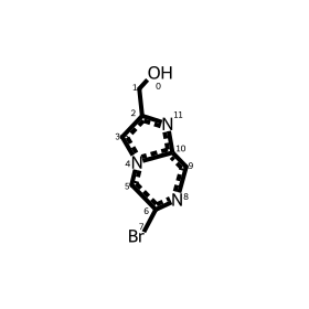 OCc1cn2cc(Br)ncc2n1